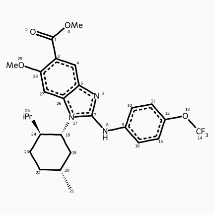 COC(=O)c1cc2nc(Nc3ccc(OC(F)(F)F)cc3)n([C@@H]3C[C@H](C)CC[C@H]3C(C)C)c2cc1OC